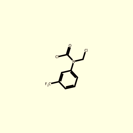 O=C(Cl)N(CCl)c1cccc(C(F)(F)F)c1